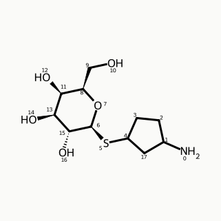 NC1CCC(S[C@@H]2O[C@H](CO)[C@H](O)[C@H](O)[C@H]2O)C1